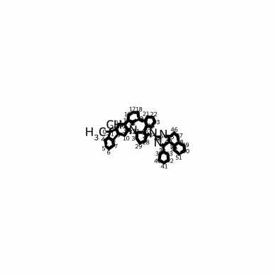 CC1(C)c2ccccc2-c2cc3c(cc21)c1cccc2c4cccc5c4c4c(cccc4n3c21)n5-c1nc(-c2ccccc2)c2c(ccc3ccccc32)n1